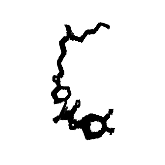 CCCCCN(C)CCCCO[C@H]1CC[C@H](N(C)C(=O)Oc2ccc(F)c(F)c2)CC1